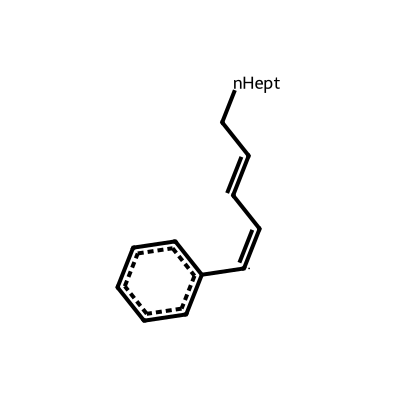 CCCCCCCC/C=C/C=[C]\c1ccccc1